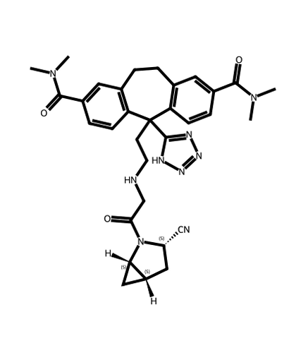 CN(C)C(=O)c1ccc2c(c1)CCc1cc(C(=O)N(C)C)ccc1C2(CCNCC(=O)N1[C@H](C#N)C[C@@H]2C[C@@H]21)c1nnn[nH]1